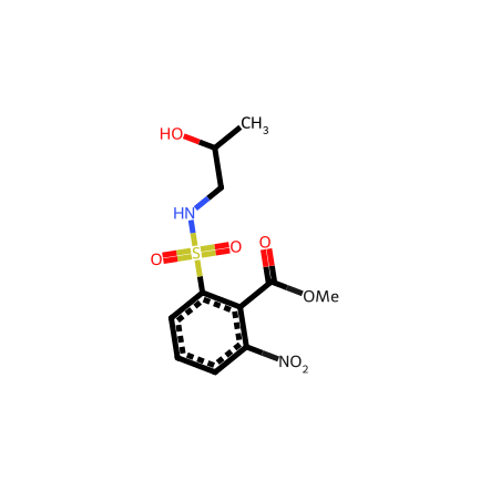 COC(=O)c1c([N+](=O)[O-])cccc1S(=O)(=O)NCC(C)O